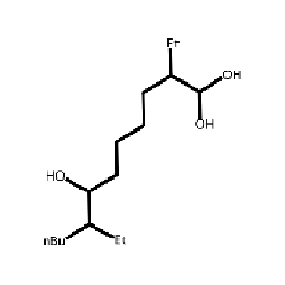 CCCCC(CC)C(O)CCCCC(CC)C(O)O